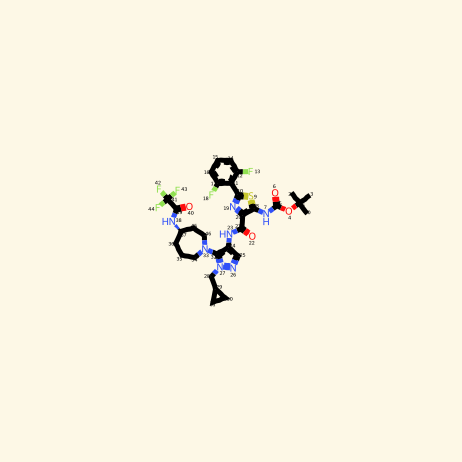 CC(C)(C)OC(=O)Nc1sc(-c2c(F)cccc2F)nc1C(=O)Nc1cnn(CC2CC2)c1N1CCC[C@@H](NC(=O)C(F)(F)F)CC1